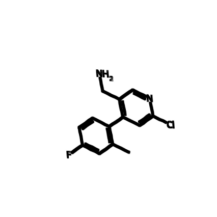 Cc1cc(F)ccc1-c1cc(Cl)ncc1CN